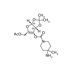 CC(=O)OC[C@H]1O[C@@H]2OC(C)(C)O[C@@H]2[C@H]1OC(=O)N1CCC(C)(N)CC1